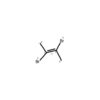 [CH2]/C(Br)=C(/C)Br